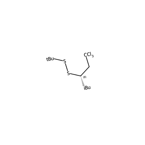 CCC(C)[C@@H](CC(Cl)(Cl)Cl)SSC(C)(C)C